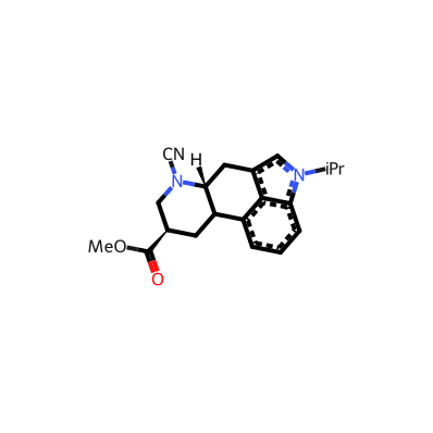 COC(=O)[C@@H]1CC2c3cccc4c3c(cn4C(C)C)C[C@H]2N(C#N)C1